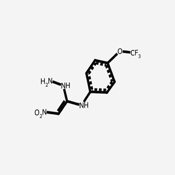 NN/C(=C\[N+](=O)[O-])Nc1ccc(OC(F)(F)F)cc1